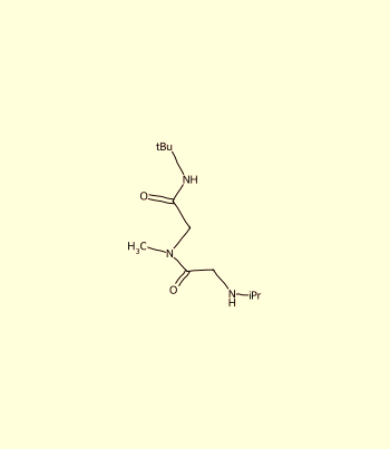 CC(C)NCC(=O)N(C)CC(=O)NC(C)(C)C